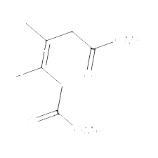 COC(=O)CC(C)=C(C)CC(=O)OC